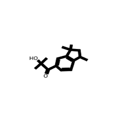 CC1CC(C)(C)c2cc(C(=O)C(C)(C)O)ccc21